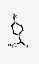 CC(=O)N1CCN([C@H](C)S)CC1